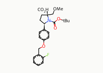 COC[C@@]1(C(=O)O)CC[C@H](c2ccc(OCc3ccccc3F)cc2)N1C(=O)OC(C)(C)C